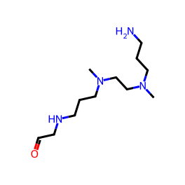 CN(CCCN)CCN(C)CCCNCC=O